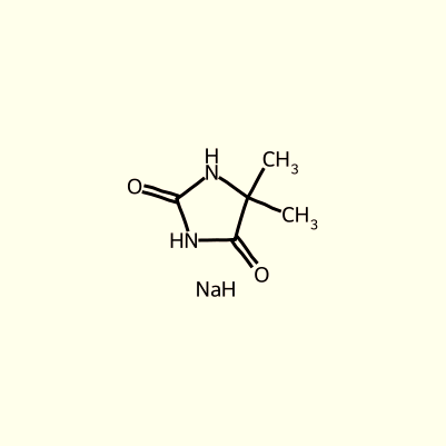 CC1(C)NC(=O)NC1=O.[NaH]